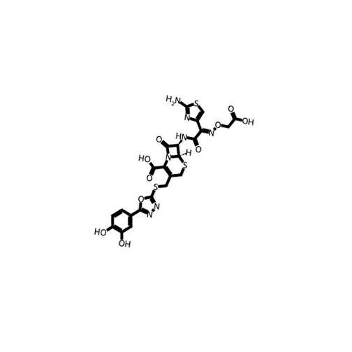 Nc1nc(/C(=N\OCC(=O)O)C(=O)N[C@@H]2C(=O)N3C(C(=O)O)=C(CSc4nnc(-c5ccc(O)c(O)c5)o4)CS[C@H]23)cs1